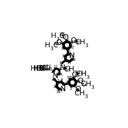 COc1cc(-c2cc(CN3CC[C@H](N(C)Cc4ccnc(-c5cc(OC)c(OC)c(OC)c5)c4)C3)ccn2)cc(OC)c1OC.Cl.Cl.Cl.Cl